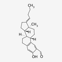 CCCC=C1CC[C@H]2[C@@H]3CCc4cc(O)c(C=O)cc4[C@H]3CC[C@]12C